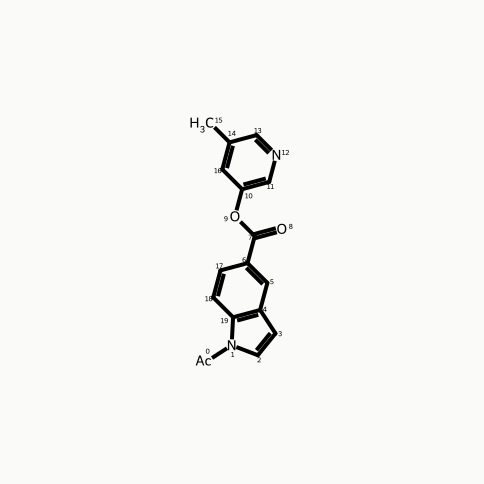 CC(=O)n1ccc2cc(C(=O)Oc3cncc(C)c3)ccc21